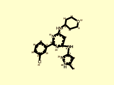 Cc1cc(Nc2cc(NC3CCOCC3)nc(-c3cccc(Cl)c3)n2)n[nH]1